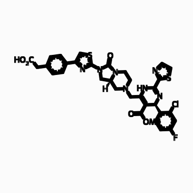 COC(=O)C1=C(CN2CCN3C(=O)N(c4nc(-c5ccc(CC(=O)O)cc5)cs4)C[C@@H]3C2)NC(c2nccs2)=N[C@H]1c1ccc(F)cc1Cl